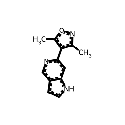 Cc1noc(C)c1-c1cc2[nH]ccc2cn1